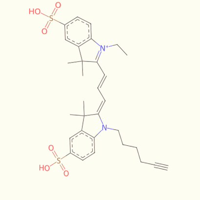 C#CCCCCN1/C(=C/C=C/C2=[N+](CC)c3ccc(S(=O)(=O)O)cc3C2(C)C)C(C)(C)c2cc(S(=O)(=O)O)ccc21